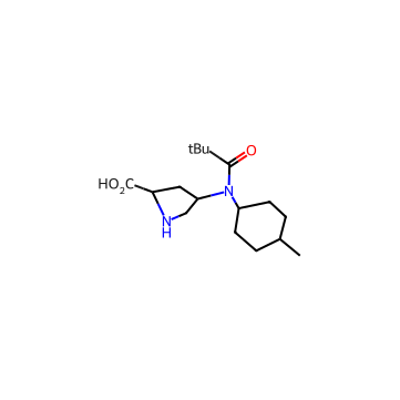 CC1CCC(N(C(=O)C(C)(C)C)C2CNC(C(=O)O)C2)CC1